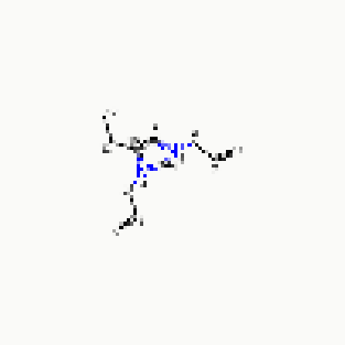 C=CCn1c[n+](CC=C)cc1CC